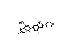 CCCc1cc(-c2cc(F)c3cc(C4CCNCC4)nnc3c2)nn2cc(C)nc12